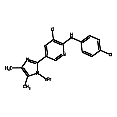 CCCn1c(-c2cnc(Nc3ccc(Cl)cc3)c(Cl)c2)nc(C)c1C